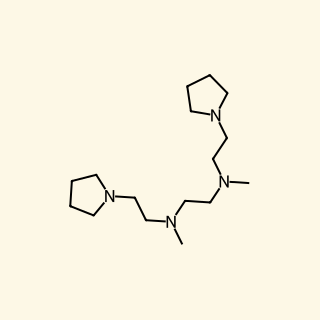 CN(CCN(C)CCN1CCCC1)CCN1CCCC1